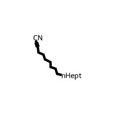 CCCCCCCCCCCCCCC#CC#N